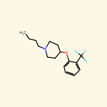 [CH2]CCCN1CCC(Oc2ccccc2C(F)(F)F)CC1